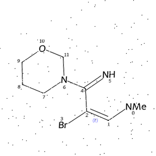 CN/C=C(/Br)C(=N)N1CCCOC1